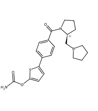 NC(=O)Oc1ccc(-c2ccc(C(=O)N3CCC[C@H]3CN3CCCC3)cc2)s1